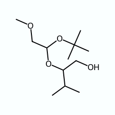 COCC(OC(CO)C(C)C)OC(C)(C)C